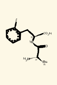 CC[C@H](C)[C@H](N)C(=O)N[C@@H](Cc1ccccc1F)C(=O)O